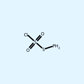 O=S(=O)(Cl)SP